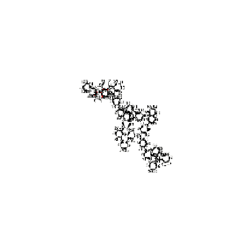 c1ccc(-c2cccc(-c3ccccc3N(c3ccc(-c4ccc(-c5cc(-c6cccc(-c7ccccc7-c7cccc(N(c8ccc(-c9ccc(-c%10ccccc%10-n%10c%11ccccc%11c%11ccccc%11%10)cc9)cc8)c8ccc(-c9ccc%10ccccc%10c9)cc8)c7)c6)ccc5-n5c6ccccc6c6ccccc65)cc4)cc3)c3ccc(-c4ccc5ccccc5c4)cc3)c2)cc1